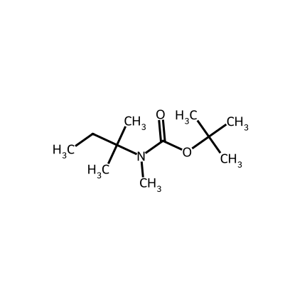 CCC(C)(C)N(C)C(=O)OC(C)(C)C